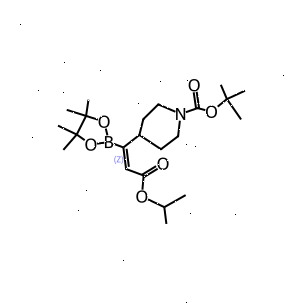 CC(C)OC(=O)/C=C(/B1OC(C)(C)C(C)(C)O1)C1CCN(C(=O)OC(C)(C)C)CC1